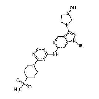 CCC(C)n1nc(N2CC[C@@H](O)C2)c2cnc(Nc3ccnc(N4CCC(S(C)(=O)=O)CC4)n3)cc21